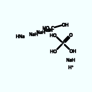 O=C(O)O.O=P(O)(O)O.[H+].[NaH].[NaH].[NaH].[NaH].[NaH]